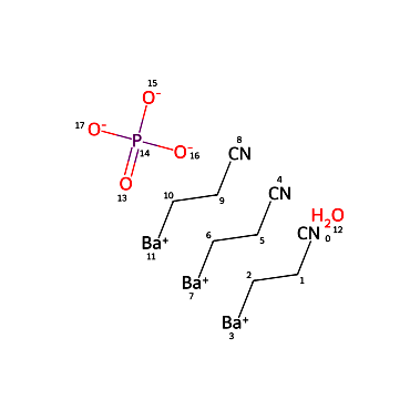 N#CC[CH2][Ba+].N#CC[CH2][Ba+].N#CC[CH2][Ba+].O.O=P([O-])([O-])[O-]